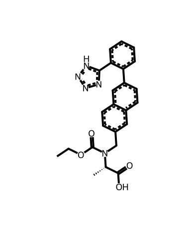 CCOC(=O)N(Cc1ccc2cc(-c3ccccc3-c3nnn[nH]3)ccc2c1)[C@@H](C)C(=O)O